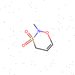 CN1OC=CCS1(=O)=O